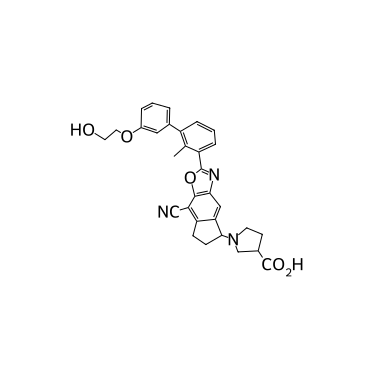 Cc1c(-c2cccc(OCCO)c2)cccc1-c1nc2cc3c(c(C#N)c2o1)CCC3N1CCC(C(=O)O)C1